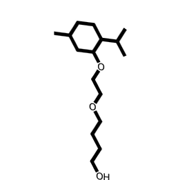 CC1CCC(C(C)C)C(OCCOCCCCO)C1